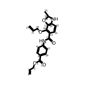 C=CCOC(=O)c1ccc(NC(=O)c2ccc3c(c2OCC=C)OC(C)N3)cc1